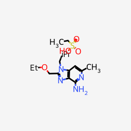 CCOCc1nc2c(N)nc(C)cc2n1CC(C)C.CCS(=O)(=O)O